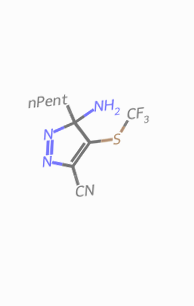 CCCCCC1(N)N=NC(C#N)=C1SC(F)(F)F